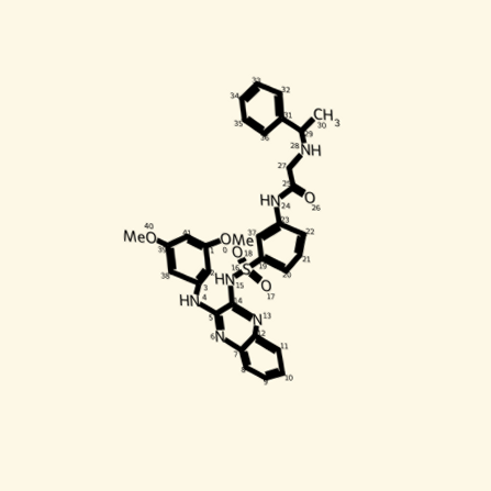 COc1cc(Nc2nc3ccccc3nc2NS(=O)(=O)c2cccc(NC(=O)CNC(C)c3ccccc3)c2)cc(OC)c1